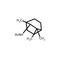 CC(=O)NC1C2(C)CCC(CC2)C1(C)C